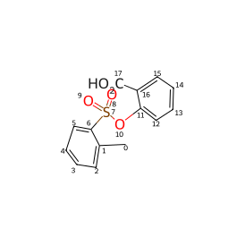 Cc1ccccc1S(=O)(=O)Oc1ccccc1C(=O)O